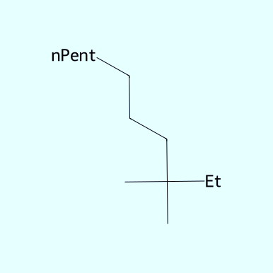 [CH2]CCCCCCCC(C)(C)CC